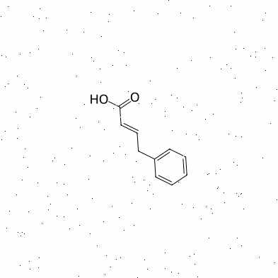 O=C(O)C=CCc1ccccc1